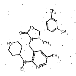 CCN(c1ncc(C)cc1CN1C(=O)O[C@H](c2cc(C)cc(C(F)(F)F)c2)[C@@H]1C)C1CCNCC1